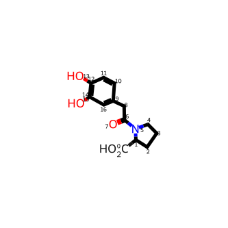 O=C(O)C1CCCN1C(=O)Cc1ccc(O)c(O)c1